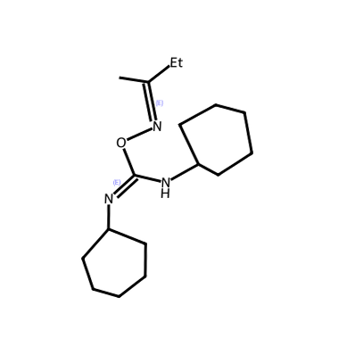 CC/C(C)=N/O/C(=N/C1CCCCC1)NC1CCCCC1